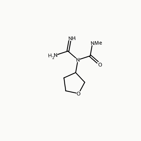 CNC(=O)N(C(=N)N)C1CCOC1